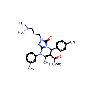 COC(=O)C1=C(C)N(c2cccc(C(F)(F)F)c2)c2nn(CCCN(C)C)c(=O)n2C1c1ccc(C#N)cc1